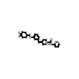 O=C(Nc1cccnn1)N1CCC(=Cc2cccc(OCC3CCC(F)(F)CC3)c2)CC1